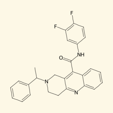 CC(c1ccccc1)N1CCc2nc3ccccc3c(C(=O)Nc3ccc(F)c(F)c3)c2C1